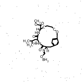 BOC=N[C@H]1Cc2ccc(cc2)OCCCC[C@@H](C(=O)OC)NC(=O)[C@H](CC(C)C)NC1=O